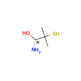 CC(C)(S)[C@H](N)O